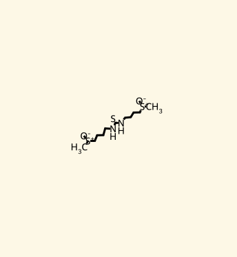 C[S+]([O-])CCCCNC(=S)NCCCC[S+](C)[O-]